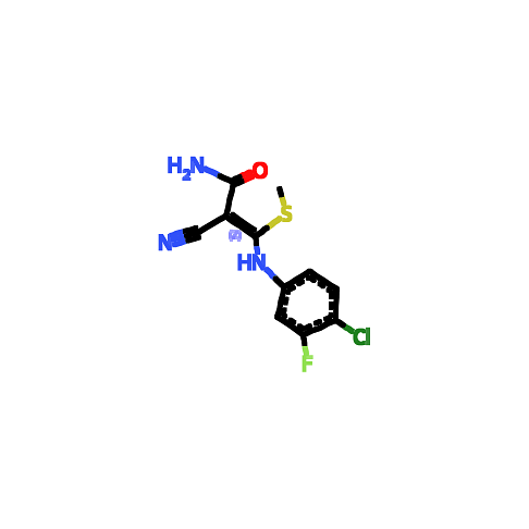 CS/C(Nc1ccc(Cl)c(F)c1)=C(/C#N)C(N)=O